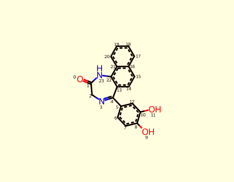 O=C1CN=C(c2ccc(O)c(O)c2)c2ccc3ccccc3c2N1